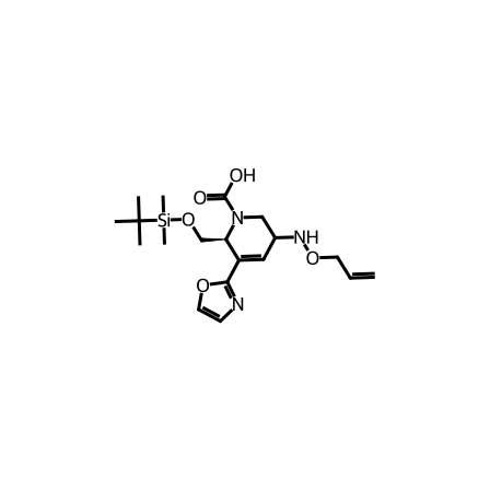 C=CCONC1C=C(c2ncco2)[C@@H](CO[Si](C)(C)C(C)(C)C)N(C(=O)O)C1